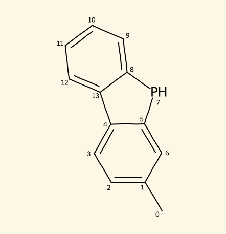 Cc1ccc2c(c1)[pH]c1ccccc12